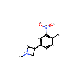 Cc1ccc(C2CN(C)C2)cc1[N+](=O)[O-]